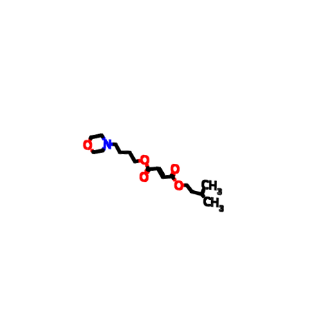 CC(C)CCOC(=O)/C=C/C(=O)OCCCCN1CCOCC1